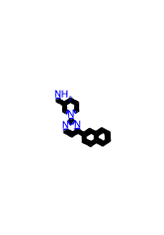 NCC1CCCN(c2nccc(-c3ccc4ccccc4c3)n2)C1